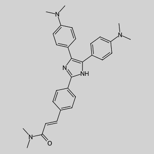 CN(C)C(=O)/C=C/c1ccc(-c2nc(-c3ccc(N(C)C)cc3)c(-c3ccc(N(C)C)cc3)[nH]2)cc1